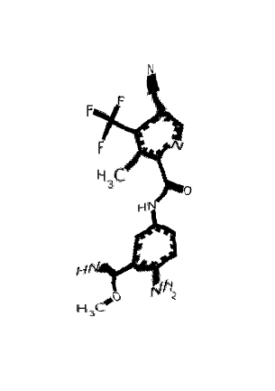 COC(=N)c1cc(NC(=O)c2ncc(C#N)c(C(F)(F)F)c2C)ccc1N